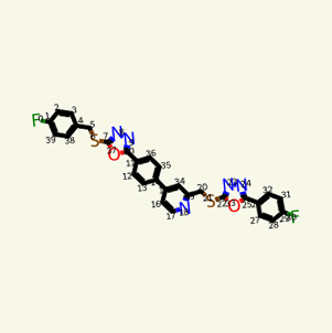 Fc1ccc(CSc2nnc(-c3ccc(-c4ccnc(CSc5nnc(-c6ccc(F)cc6)o5)c4)cc3)o2)cc1